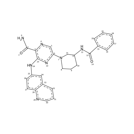 NC(=O)c1ncc(N2CCCC(NC(=O)c3ccccc3)C2)nc1Nc1ccc2ncccc2c1